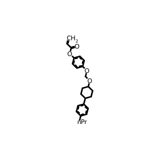 C=CC(=O)Oc1ccc(OCOC2CCC(c3ccc(CCC)cc3)CC2)cc1